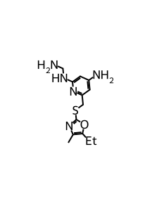 CCc1oc(SCc2cc(N)cc(NCN)n2)nc1C